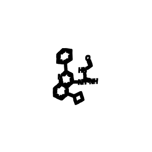 N=C(NC=O)Nc1cc(-c2ccccc2)nc2cccc(C3CCC3)c12